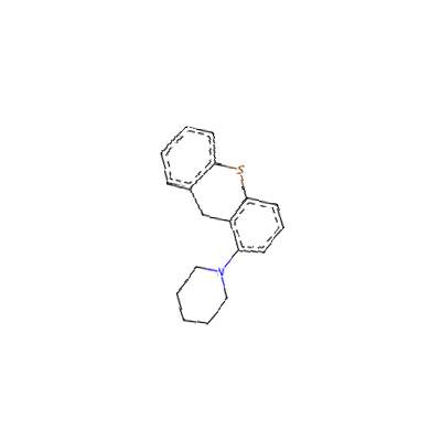 c1ccc2c(c1)Cc1c(cccc1N1CCCCC1)S2